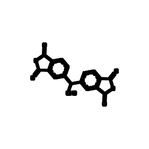 O=CC(c1ccc2c(c1)C(=O)OC2=O)c1ccc2c(c1)C(=O)OC2=O